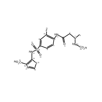 CN(CC(=O)Nc1ccc(S(=O)(=O)Nc2scnc2C(=O)O)cc1F)NC(=O)O